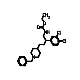 CCOC(=O)NCC(CCC1CCN(Cc2ccccc2)CC1)c1ccc(Cl)c(Cl)c1